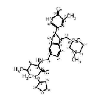 Cc1cc(-c2nc3cc(CNC(CC(C)C)C(=O)OC4CCCC4)ccc3n2C[C@@H]2CN(C)CCO2)c[nH]c1=O